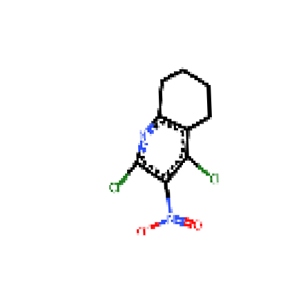 O=[N+]([O-])c1c(Cl)nc2c(c1Cl)CCCC2